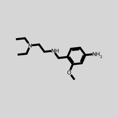 CCN(CC)CCNCc1ccc(N)cc1OC